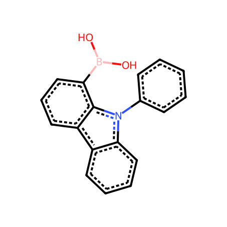 OB(O)c1cccc2c3ccccc3n(-c3ccccc3)c12